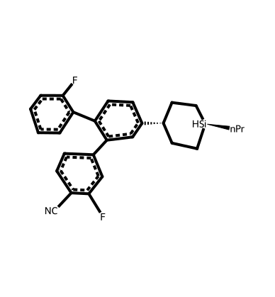 CCC[Si@H]1CC[C@H](c2ccc(-c3ccccc3F)c(-c3ccc(C#N)c(F)c3)c2)CC1